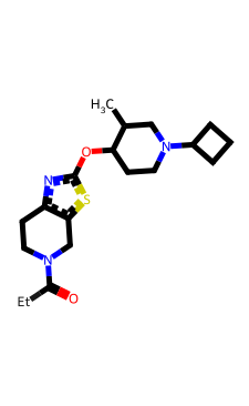 CCC(=O)N1CCc2nc(OC3CCN(C4CCC4)CC3C)sc2C1